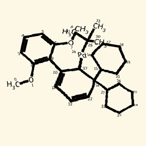 COc1cccc(OC)c1C1=CC=CC(C2CCCCC2)(C2CCCCC2)[CH]1[Pd][C](C)(C)C